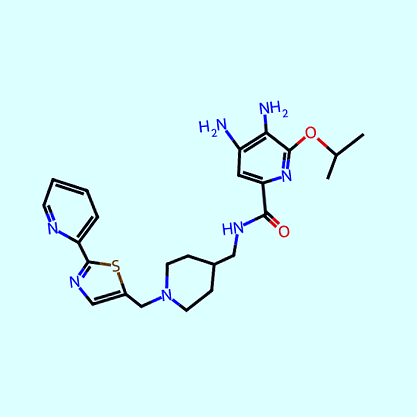 CC(C)Oc1nc(C(=O)NCC2CCN(Cc3cnc(-c4ccccn4)s3)CC2)cc(N)c1N